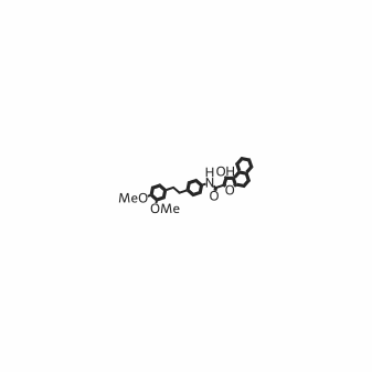 COc1ccc(CCc2ccc(NC(=O)c3oc4ccc5ccccc5c4c3O)cc2)cc1OC